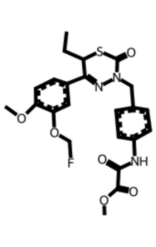 CCC1SC(=O)N(Cc2ccc(NC(=O)C(=O)OC)cc2)N=C1c1ccc(OC)c(OCF)c1